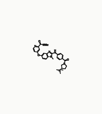 CNC(=O)c1cc(Oc2ccc3c(c2)nc(Nc2ccc(C(=O)N4CC[C@@H](N(C)C)C4)cc2)n3C)ccn1